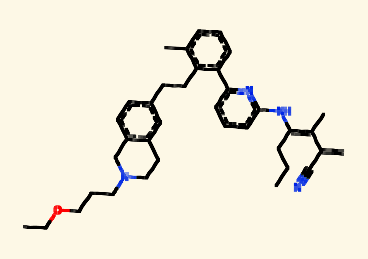 C=C(C#N)/C(C)=C(\CCC)Nc1cccc(-c2cccc(C)c2CCc2ccc3c(c2)CCN(CCCOCC)C3)n1